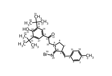 Cc1ccc(/C=C2\CCN(CC(=O)c3cc(C(C)(C)C)c(O)c(C(C)(C)C)c3)\C2=N/Br)cc1